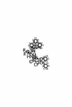 O=C(NC1C(=O)N2CC(CCl)(C(=O)OC(c3ccccc3)c3ccccc3)CS[C@H]12)C(=NOC(F)F)c1csc(NC(c2ccccc2)(c2ccccc2)c2ccccc2)n1